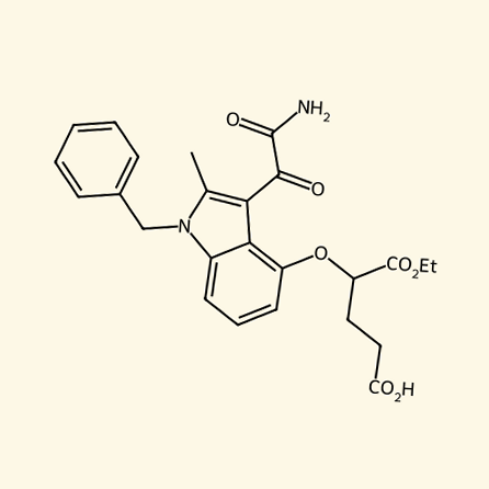 CCOC(=O)C(CCC(=O)O)Oc1cccc2c1c(C(=O)C(N)=O)c(C)n2Cc1ccccc1